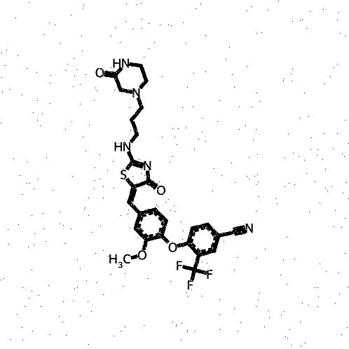 COc1cc(C=C2SC(NCCCN3CCNC(=O)C3)=NC2=O)ccc1Oc1ccc(C#N)cc1C(F)(F)F